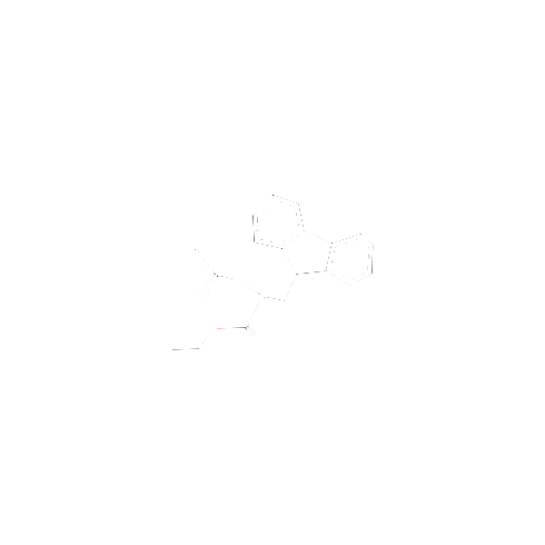 CCOC(=O)N(CC1c2ccccc2-c2ccccc21)OC(N)=O